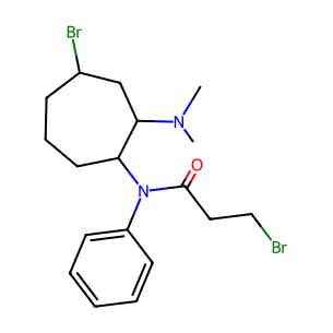 CN(C)C1CC(Br)CCCC1N(C(=O)CCBr)c1ccccc1